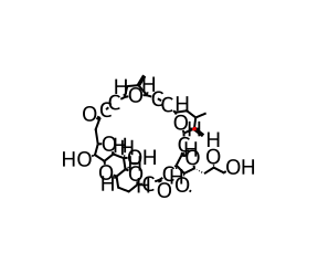 C=C1C[C@@H]2CCC(=O)CC3O[C@@H]4C(O[C@H]5CC[C@H](CC(=O)C[C@@H]6[C@@H](OC)[C@@H](C[C@H](O)CO)O[C@H]6C[C@H]6O[C@@H](CC[C@@H]1O2)CC(C)C6=C)O[C@@H]5[C@@H]4O)[C@H]3O